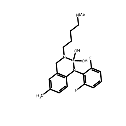 CNCCCCN1Cc2cc(C)ccc2N(c2c(F)cccc2F)S1(O)O